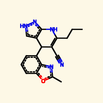 CCCC1=C(C#N)C(c2cccc3oc(C)nc23)c2c[nH]nc2N1